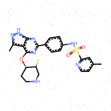 Cc1ccnc(S(=O)(=O)Nc2ccc(-c3nc(O[C@@H]4CCNC[C@@H]4F)c4c(C)n[nH]c4n3)cc2)c1